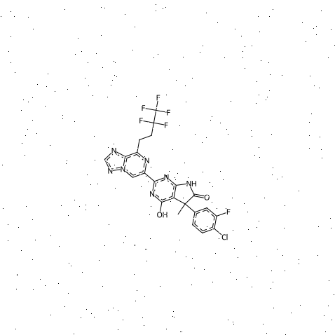 CC1(c2ccc(Cl)c(F)c2)C(=O)Nc2nc(-c3cn4ncnc4c(CCC(F)(F)C(F)(F)F)n3)nc(O)c21